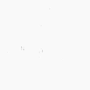 Cc1cc(C)n(C2=Cc3ccccc3[CH]2[Zr][C]2=CC=CC2)c1.c1ccc(CCc2ccccc2)cc1